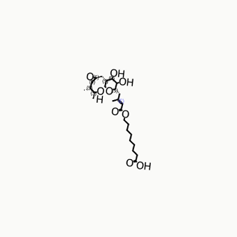 C/C(=C\C(=O)OCCCCCCCCC(=O)O)C[C@@H]1OC[C@H](C[C@@H]2O[C@H]2[C@@H](C)[C@H](C)O)[C@@H](O)C1O